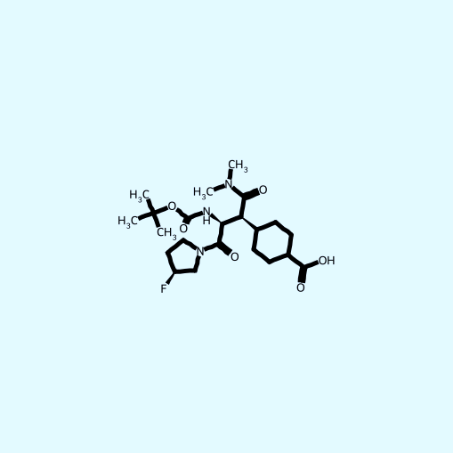 CN(C)C(=O)[C@@H](C1CCC(C(=O)O)CC1)[C@H](NC(=O)OC(C)(C)C)C(=O)N1CC[C@H](F)C1